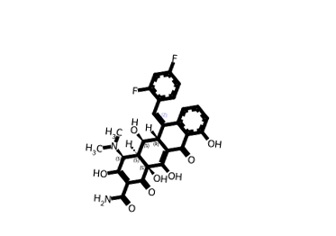 CN(C)[C@@H]1C(O)=C(C(N)=O)C(=O)[C@@]2(O)C(O)=C3C(=O)c4c(O)cccc4/C(=C\c4ccc(F)cc4F)[C@H]3[C@H](O)[C@H]12